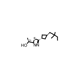 CCC(C)(C)C[C@H]1C[C@H](c2nnc([C@H](C)O)s2)C1